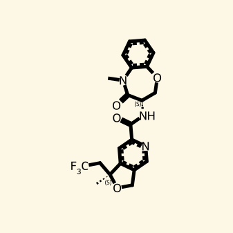 CN1C(=O)[C@@H](NC(=O)c2cc3c(cn2)CO[C@@]3(C)CC(F)(F)F)COc2ccccc21